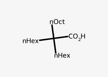 CCCCCCCCC(CCCCCC)(CCCCCC)C(=O)O